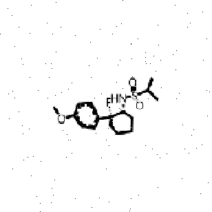 COc1ccc([C@]2(F)CCCC[C@H]2NS(=O)(=O)C(C)C)cc1